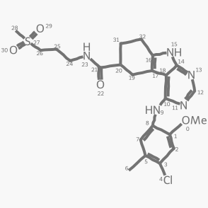 COc1cc(Cl)c(C)cc1Nc1ncnc2[nH]c3c(c12)CC(C(=O)NCCCS(C)(=O)=O)CC3